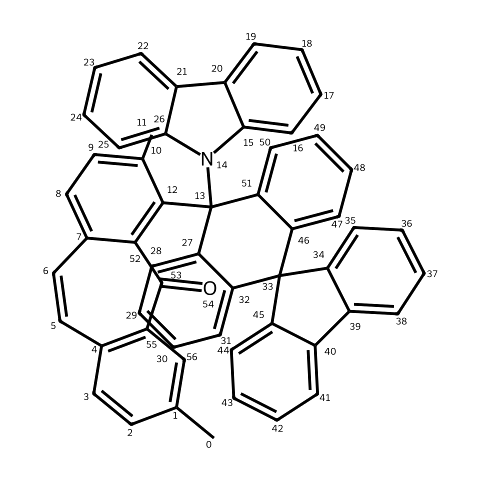 Cc1ccc2ccc3ccc(C)c(C4(n5c6ccccc6c6ccccc65)c5ccccc5C5(c6ccccc6-c6ccccc65)c5ccccc54)c3c(=O)c2c1